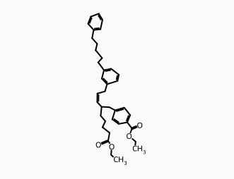 CCOC(=O)CCCCC(/C=C\Cc1cccc(CCCCCc2ccccc2)c1)Cc1ccc(C(=O)OCC)cc1